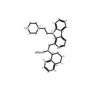 CCCCCN(Cc1nccc2c3ccccc3n(CCN3CCOCC3)c12)C1CCCc2cccnc21